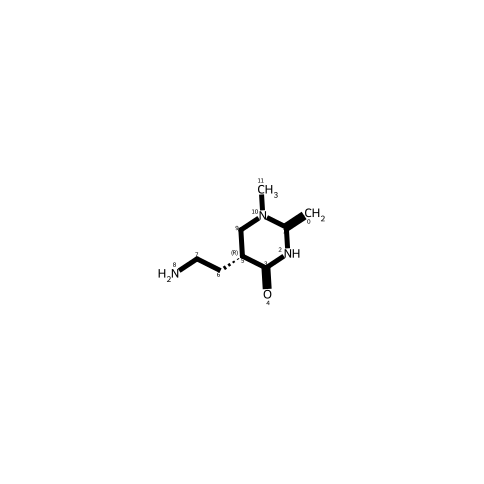 C=C1NC(=O)[C@H](CCN)CN1C